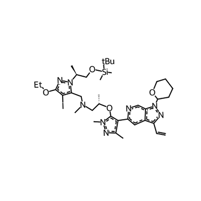 C=Cc1nn(C2CCCCO2)c2cnc(-c3c(C)nn(C)c3O[C@@H](C)CN(C)Cc3c(I)c(OCC)nn3[C@@H](C)CO[Si](C)(C)C(C)(C)C)cc12